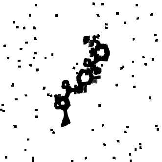 C[C@H]1C[C@@H](NC(=O)c2cc(C3CC3)on2)CCN1S(=O)(=O)c1cccc(C(F)(F)F)n1